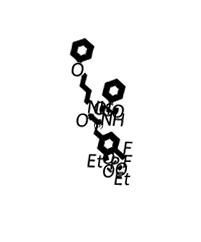 CCOP(=O)(OCC)C(F)(F)c1ccc(C[C@H](NS(=O)(=O)c2ccccc2)C(=O)NCCCCOc2ccccc2)cc1